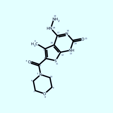 Cc1c(C(=O)N2CCOCC2)sc2[nH]c(=O)nc(NN)c12